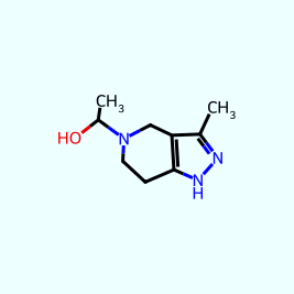 Cc1n[nH]c2c1CN(C(C)O)CC2